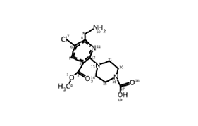 COC(=O)c1cc(Cl)c(CN)nc1N1CCN(C(=O)O)CC1